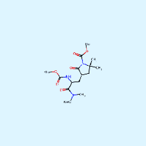 CON(C)C(=O)C(C[C@@H]1CC(C)(C)N(C(=O)OC(C)(C)C)C1=O)NC(=O)OC(C)(C)C